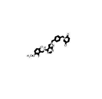 COc1ccc(Cl)c(CNc2ncnc3nn(Cc4ccc(Cn5cc(Cl)ccc5=O)cc4)cc23)c1F